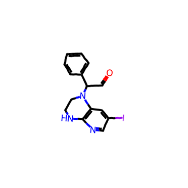 O=CC(c1ccccc1)N1CCNc2ncc(I)cc21